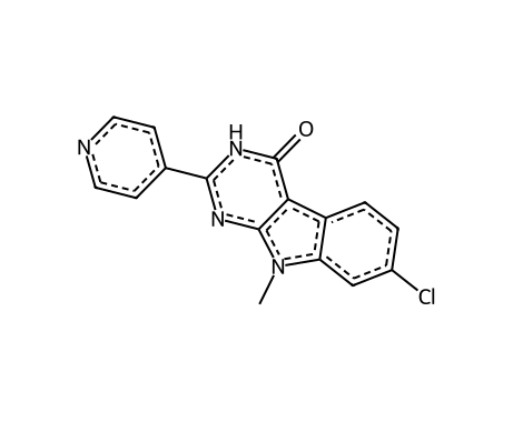 Cn1c2cc(Cl)ccc2c2c(=O)[nH]c(-c3ccncc3)nc21